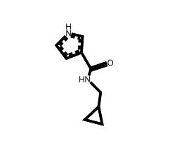 O=C(NCC1CC1)c1cc[nH]c1